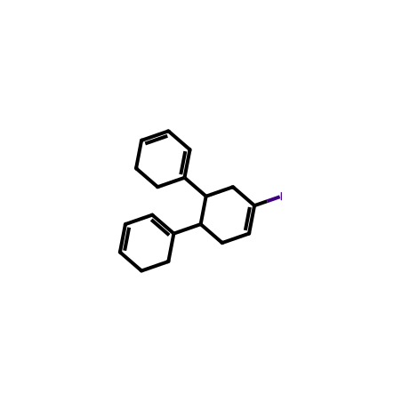 IC1=CCC(C2=CC=CCC2)C(C2=CC=CCC2)C1